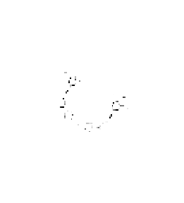 COc1cc(C#C/C=C/C(=O)N2CCN(CCCN3CCN(C(=O)/C=C/C#Cc4cc(OC)c(OC)c(OC)c4)CC3)CC2)cc(OC)c1OC